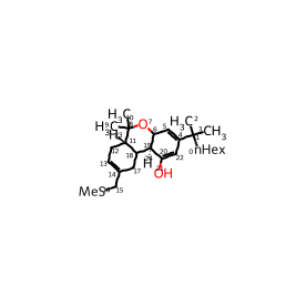 CCCCCCC(C)(C)C1=CC2OC(C)(C)[C@H]3CC=C(CSC)CC3[C@@H]2C(O)=C1